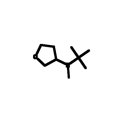 CN(C1CCOC1)C(C)(C)C